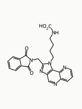 O=C(O)NCCCCn1c(CN2C(=O)c3ccccc3C2=O)nc2cnc3cccnc3c21